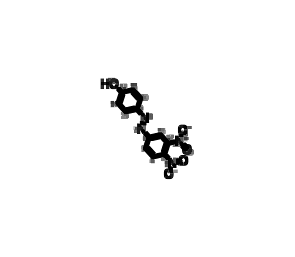 O=[N+]([O-])c1ccc(N=Nc2ccc(O)cc2)cc1[N+](=O)[O-]